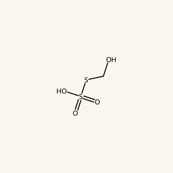 O=S(=O)(O)SCO